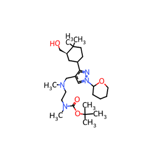 CN(CCN(C)C(=O)OC(C)(C)C)Cc1cn(C2CCCCO2)nc1C1CCC(C)(C)[C@H](CO)C1